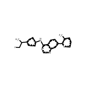 CC(CF)c1ccc(Nc2ncnc3cc(-c4ncccc4C(F)(F)F)ccc23)cc1